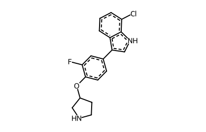 Fc1cc(-c2c[nH]c3c(Cl)cccc23)ccc1OC1CCNC1